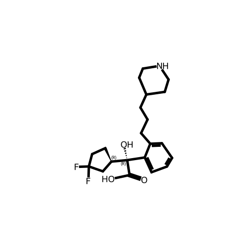 O=C(O)[C@](O)(c1ccccc1CCCC1CCNCC1)[C@@H]1CCC(F)(F)C1